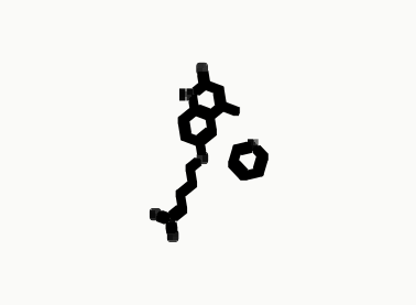 Cc1cc(=O)[nH]c2ccc(OCCCC=S(=O)=O)cc12.c1ccncc1